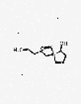 CCCCC[N+]1([C]=O)CCCC1O